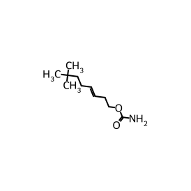 CC(C)(C)CCC=CCCOC(N)=O